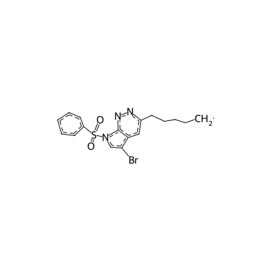 [CH2]CCCCc1cc2c(Br)cn(S(=O)(=O)c3ccccc3)c2nn1